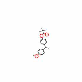 COc1ccc(C(C)c2ccc(OC(=O)C(C)(C)C)cc2)cc1